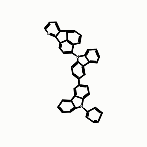 c1ccc(-n2c3ccccc3c3cc(-c4ccc5c(c4)c4ccccc4n5-c4ccc5c6c(cccc46)-c4cccnc4-5)ccc32)cc1